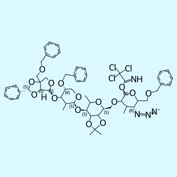 CC1C(O[C@@H]2OCC3(COCc4ccccc4)O[C@@H](c4ccccc4)O[C@H]23)[C@H](OCc2ccccc2)CO[C@H]1O[C@H]1C(C)O[C@@H](COC2C(C)[C@@H](N=[N+]=[N-])C(COCc3ccccc3)O[C@@H]2OC(=N)C(Cl)(Cl)Cl)C2OC(C)(C)OC21